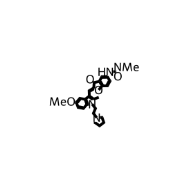 CNC(=O)Nc1ccc2c(c1)C(=O)C(=Cc1c(C)n(CCN3CCCC3)c3ccc(OC)cc13)O2